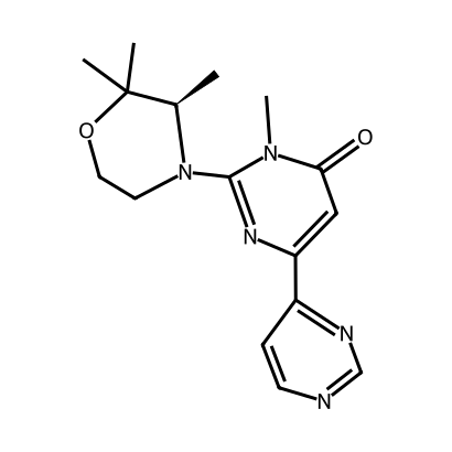 C[C@H]1N(c2nc(-c3ccncn3)cc(=O)n2C)CCOC1(C)C